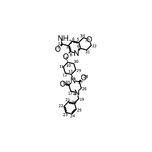 NC(=O)c1cc2c(nc1O[C@H]1CC[C@H](N3C(=O)CN(Cc4ccccc4)CC3=O)CC1)CCOC2